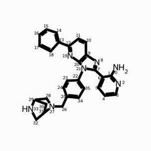 Nc1ncccc1-c1nc2ccc(-c3ccccc3)nc2n1-c1ccc(CN2CC3CC2CN3)cc1